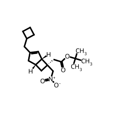 CC(C)(C)OC(=O)C[C@]1(C[N+](=O)[O-])C[C@@H]2CC(CC3CCC3)=C[C@@H]21